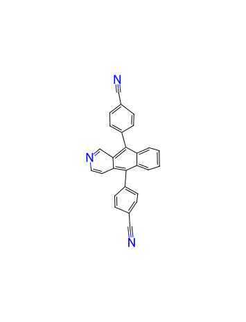 N#Cc1ccc(-c2c3ccccc3c(-c3ccc(C#N)cc3)c3cnccc23)cc1